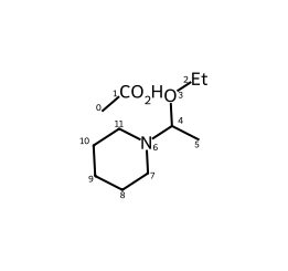 CC(=O)O.CCOC(C)N1CCCCC1